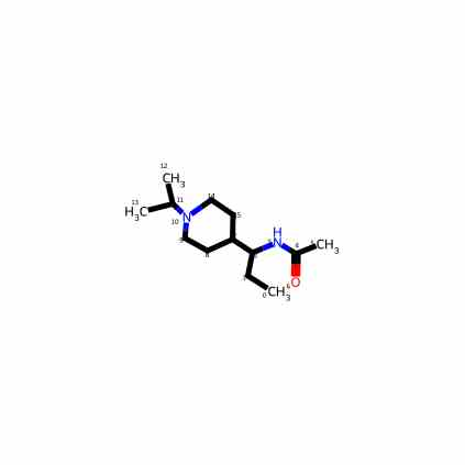 CCC(NC(C)=O)C1CCN(C(C)C)CC1